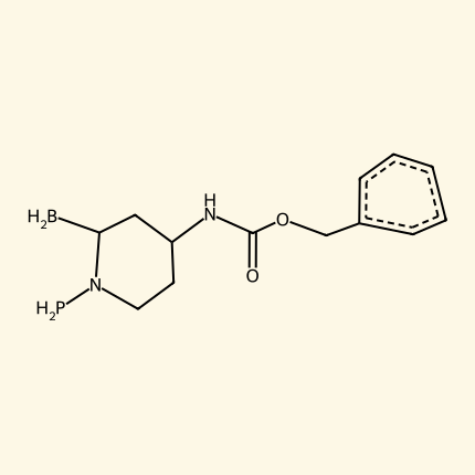 BC1CC(NC(=O)OCc2ccccc2)CCN1P